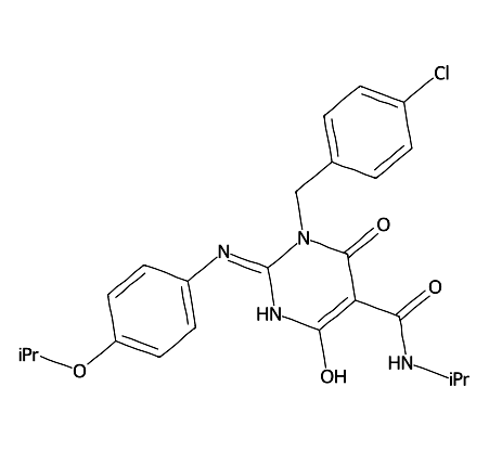 CC(C)NC(=O)c1c(O)[nH]/c(=N\c2ccc(OC(C)C)cc2)n(Cc2ccc(Cl)cc2)c1=O